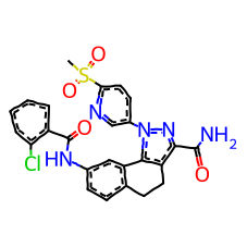 CS(=O)(=O)c1ccc(-n2nc(C(N)=O)c3c2-c2cc(NC(=O)c4ccccc4Cl)ccc2CC3)cn1